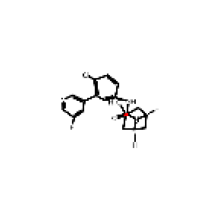 C[C@@H]1C[C@@H]2C[C@H](C1)N2C(=O)Nc1ccc(Cl)c(-c2cncc(F)c2)c1